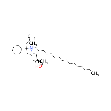 CCCCCCCCCCCCCCCC[N+](C)(CCCC)C(CCC)(CCCC)C1CCCCC1.[OH-]